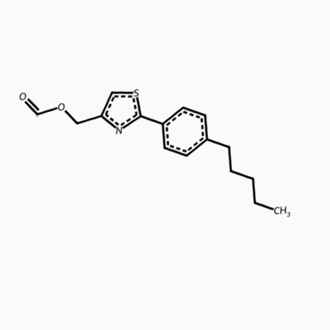 CCCCCc1ccc(-c2nc(CO[C]=O)cs2)cc1